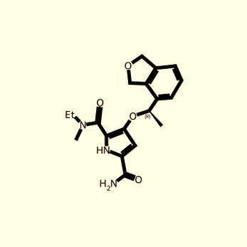 CCN(C)C(=O)c1[nH]c(C(N)=O)cc1O[C@H](C)c1cccc2c1COC2